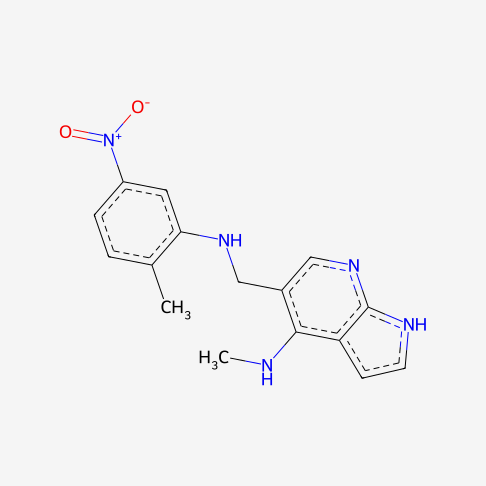 CNc1c(CNc2cc([N+](=O)[O-])ccc2C)cnc2[nH]ccc12